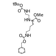 COC(=O)[C@@H](CCCCNC(=O)OCc1ccccc1)NCCNC(=O)OC(C)(C)C